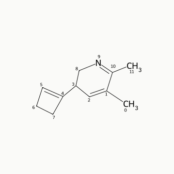 CC1=CC(C2=CCC2)CN=C1C